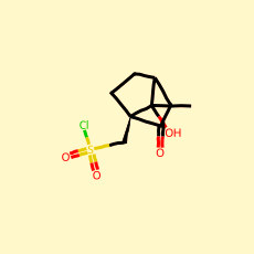 CC1(O)C2CC[C@@]1(CS(=O)(=O)Cl)C(=O)C2